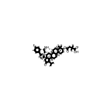 CC(C)C1=C2[C@H]3CC[C@@H]4[C@@]5(C)CC[C@H](OC(=O)CC(C)(C)C(=O)O)C(C)(C)[C@@H]5CC[C@@]4(C)[C@]3(C)CC[C@@]2(c2nnc(-c3ccc(F)cc3)n2CCN)CC1=O